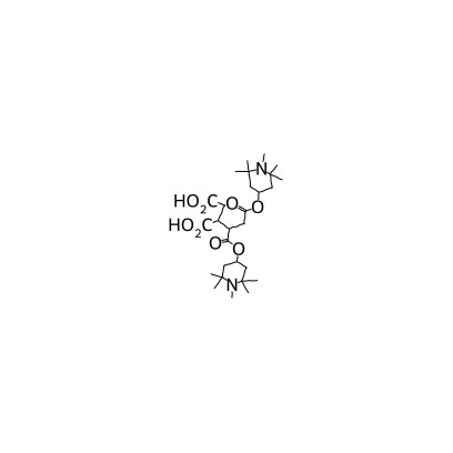 CN1C(C)(C)CC(OC(=O)CC(C(=O)OC2CC(C)(C)N(C)C(C)(C)C2)C(CC(=O)O)C(=O)O)CC1(C)C